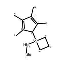 CC1=C(C)C(S2(NC(C)(C)C)CCC2)C(C)=C1C